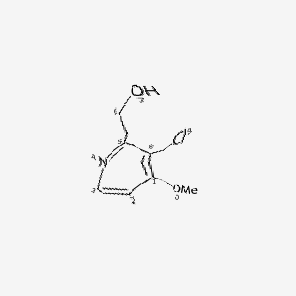 COc1ccnc(CO)c1Cl